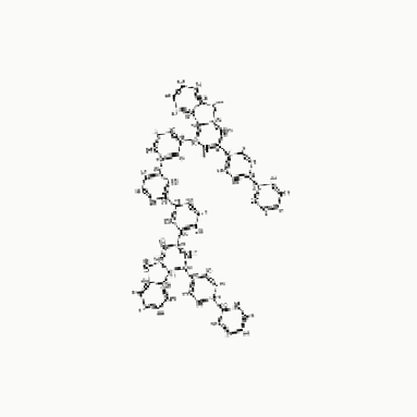 c1ccc(-c2ccc(-c3nc(-c4cccc(-c5cccc(-c6cccc(-c7nc(-c8ccc(-c9ccccc9)cc8)c8c(n7)sc7ccccc78)c6)c5)c4)c4c(n3)sc3ccccc34)cc2)cc1